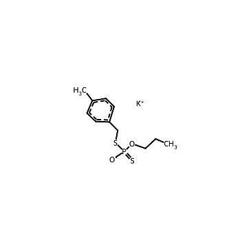 CCCOP([O-])(=S)SCc1ccc(C)cc1.[K+]